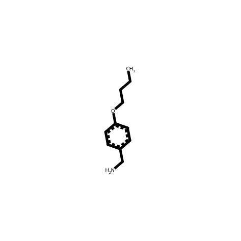 CCCCOc1[c]cc(CN)cc1